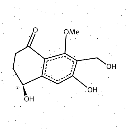 COc1c(CO)c(O)cc2c1C(=O)CC[C@@H]2O